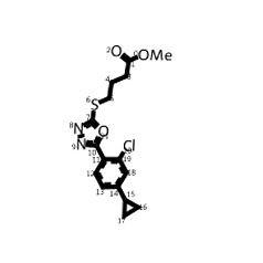 COC(=O)CCCSc1nnc(-c2ccc(C3CC3)cc2Cl)o1